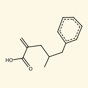 C=C(CC(C)Cc1ccccc1)C(=O)O